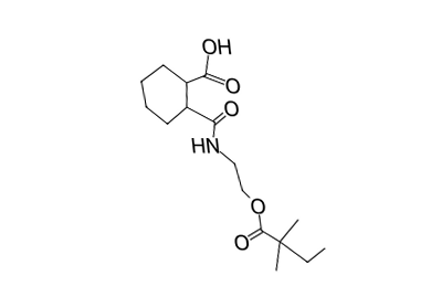 CCC(C)(C)C(=O)OCCNC(=O)C1CCCCC1C(=O)O